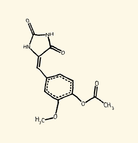 COc1cc(C=C2NC(=O)NC2=O)ccc1OC(C)=O